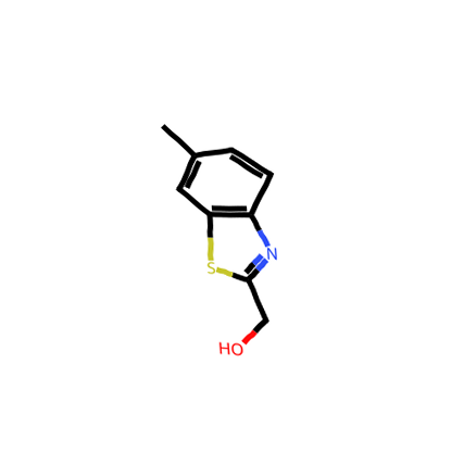 Cc1ccc2nc(CO)sc2c1